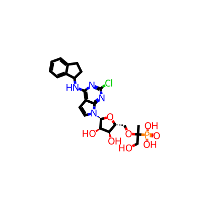 CC(CO)(OC[C@H]1O[C@@H](n2ccc3c(NC4CCc5ccccc54)nc(Cl)nc32)[C@H](O)[C@@H]1O)P(=O)(O)O